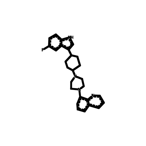 Fc1ccc2[nH]cc(C3CCC(N4CCN(c5cccc6cccnc56)CC4)CC3)c2c1